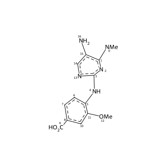 CNc1nc(Nc2ccc(C(=O)O)cc2OC)ncc1N